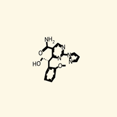 COc1ccccc1[C@H](CO)c1nc(-n2cccn2)ncc1C(N)=O